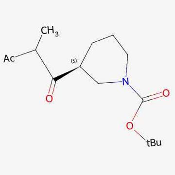 CC(=O)C(C)C(=O)[C@H]1CCCN(C(=O)OC(C)(C)C)C1